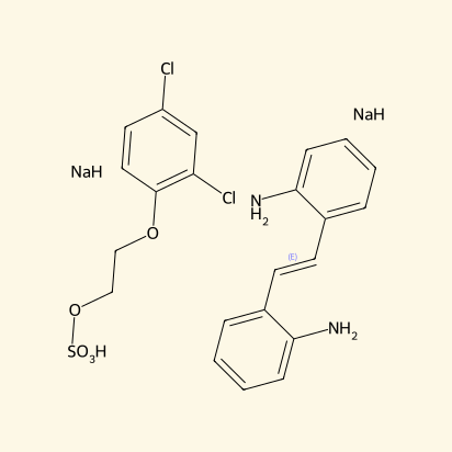 Nc1ccccc1/C=C/c1ccccc1N.O=S(=O)(O)OCCOc1ccc(Cl)cc1Cl.[NaH].[NaH]